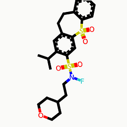 CC(C)c1cc2c(cc1S(=O)(=O)N(F)CCC1CCOCC1)S(=O)(=O)c1ccccc1CC2